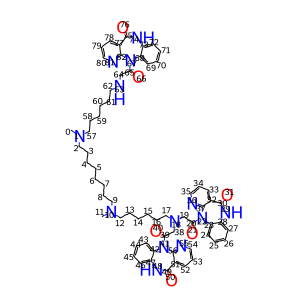 CN(CCCCCCCCN(C)CCCCCCN(CC(=O)N1c2ccccc2NC(=O)c2cccnc21)CC(=O)N1c2ccccc2NC(=O)c2cccnc21)CCCCCCNCC(=O)N1c2ccccc2NC(=O)c2cccnc21